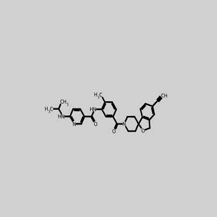 C#Cc1ccc2c(c1)COC21CCN(C(=O)c2ccc(C)c(NC(=O)c3ccc(NC(C)C)nc3)c2)CC1